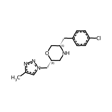 Cc1cn(C[C@H]2CN[C@@H](Cc3ccc(Cl)cc3)CO2)nn1